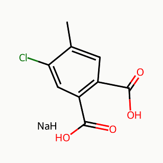 Cc1cc(C(=O)O)c(C(=O)O)cc1Cl.[NaH]